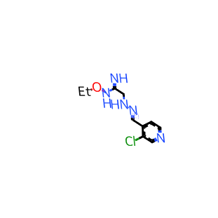 CCONC(=N)CN/N=C/c1ccncc1Cl